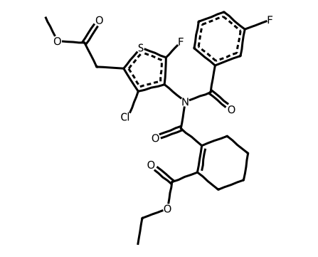 CCOC(=O)C1=C(C(=O)N(C(=O)c2cccc(F)c2)c2c(F)sc(CC(=O)OC)c2Cl)CCCC1